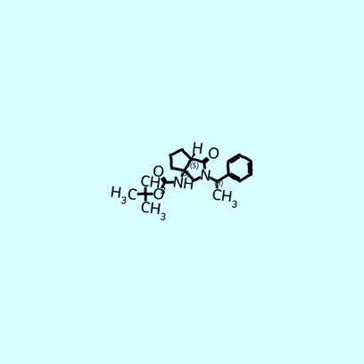 C[C@H](c1ccccc1)N1C[C@]2(NC(=O)OC(C)(C)C)CCC[C@@H]2C1=O